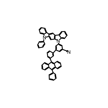 N#Cc1cc(-c2cccc(-c3c4ccccc4c(-c4ccccc4)c4ccccc34)c2)cc(-n2c3ccccc3c3cc4c5ccccc5n(-c5ccccc5)c4cc32)c1